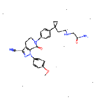 COc1ccc(-n2nc(C#N)c3c2C(=O)N(c2ccc(C4(CCNCC(N)=O)CC4)cc2)CC3)cc1